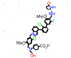 COc1cc(Cn2ncc3c(-c4cccc(-c5cc(F)c(CNC[C@@H]6CCC(=O)N6)c(OC)c5)c4Cl)cccc32)c(Cl)cc1CN(CCO)C1CCC(C(=O)O)CC1